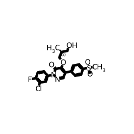 C[C@@H](CO)COc1c(-c2ccc(S(C)(=O)=O)cc2)cnn(-c2ccc(F)c(Cl)c2)c1=O